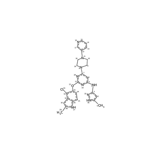 Cc1cc(Nc2cc(N3CCN(c4cccnc4)CC3)nc(Oc3ccc4[nH]c(C)cc4c3Cl)n2)n[nH]1